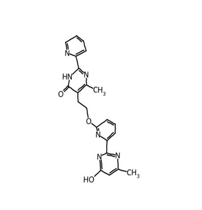 Cc1cc(O)nc(-c2cccc(OCCc3c(C)nc(-c4ccccn4)[nH]c3=O)n2)n1